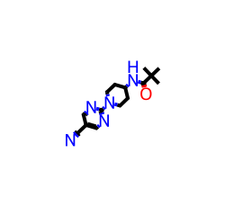 CC(C)(C)C(=O)NC1CCN(c2ncc(C#N)cn2)CC1